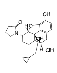 Cl.O=C1CCCN1[C@H]1CC[C@@]2(O)[C@H]3Cc4ccc(O)c5c4[C@@]2(CCN3CC2CC2)[C@H]1O5